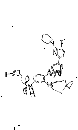 O=S(=O)(CCO)Nc1ccc(-n2cc(-c3ccc(F)c(N4CCCCC4)n3)nn2)c(N2CCC3(CC2)CC3)c1